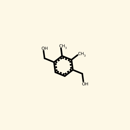 Cc1c(CO)ccc(CO)c1C